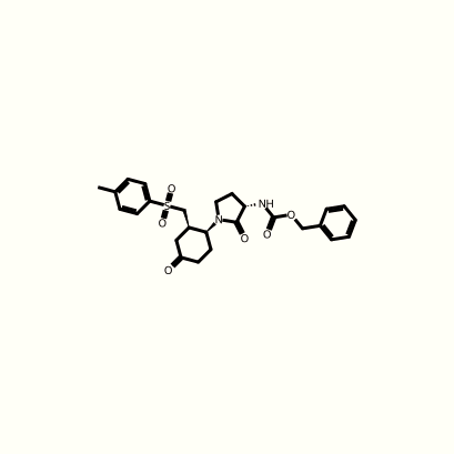 Cc1ccc(S(=O)(=O)C[C@@H]2CC(=O)CC[C@@H]2N2CC[C@H](NC(=O)OCc3ccccc3)C2=O)cc1